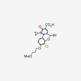 COCCCOc1ccc2c(c1Cl)OC(C(C)C)c1cc(C(=O)O)c(=O)n(C3CC3)c1-2